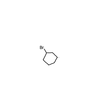 BrC1C[CH]CCC1